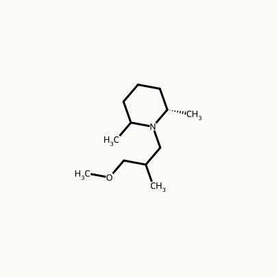 COCC(C)CN1C(C)CCC[C@@H]1C